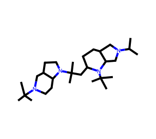 CC(C)N1CC2CCC(CC(C)(C)N3CCC4CN(C(C)(C)C)CCC43)N(C(C)(C)C)C2C1